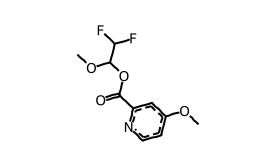 COc1ccnc(C(=O)OC(OC)C(F)F)c1